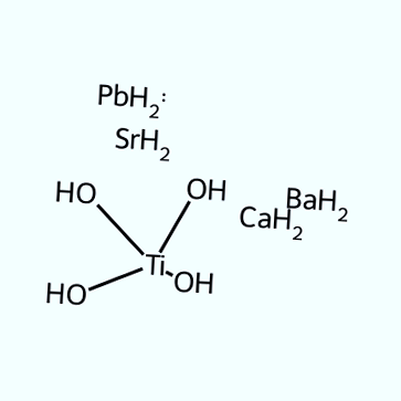 [BaH2].[CaH2].[OH][Ti]([OH])([OH])[OH].[PbH2].[SrH2]